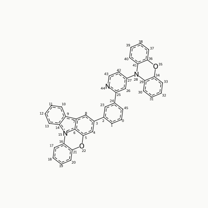 c1cc(-c2cc3c4c(c2)c2ccccc2n4-c2ccccc2O3)cc(-c2cc(N3c4ccccc4Oc4ccccc43)ccn2)c1